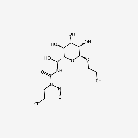 CCCO[C@H]1O[C@H](C(O)NC(=O)N(CCCl)N=O)[C@@H](O)[C@H](O)[C@H]1O